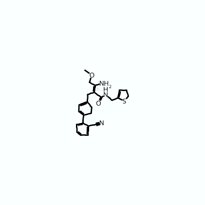 COC/C(N)=C(\CC1=CC=C(c2ccccc2C#N)CC1)C(=O)NCC1=CCCS1